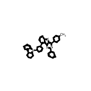 Cc1ccc(-c2nc(-c3ccccc3)nc3c2sc2cccc(-c4cccc(-n5c6ccccc6c6ccccc65)c4)c23)cc1